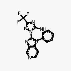 Nc1nc(C(F)(F)F)nn1-c1nc2cnccc2n1-c1ccccc1